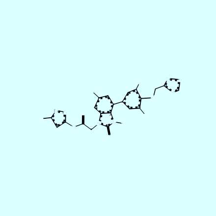 Cc1cc(-c2cc(C)c(OCc3nnc[nH]3)c(F)c2)c2c(c1)n(CC(=O)Nc1cc(C)[nH]n1)c(=O)n2C